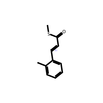 CSC(=O)/C=C/c1ccccc1C